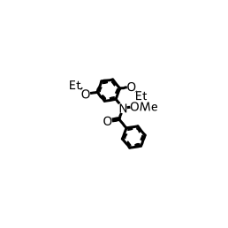 CCOc1ccc(OCC)c(N(OC)C(=O)c2ccccc2)c1